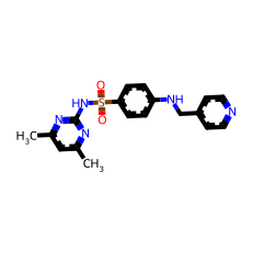 Cc1cc(C)nc(NS(=O)(=O)c2ccc(NCc3ccncc3)cc2)n1